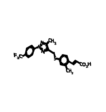 Cc1cc(SCc2nn(-c3ccc(C(F)(F)F)cc3)nc2C)ccc1C=CC(=O)O